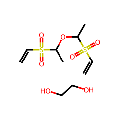 C=CS(=O)(=O)C(C)OC(C)S(=O)(=O)C=C.OCCO